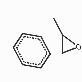 CC1CO1.c1ccccc1